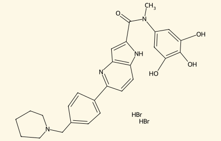 Br.Br.CN(C(=O)c1cc2nc(-c3ccc(CN4CCCCC4)cc3)ccc2[nH]1)c1cc(O)c(O)c(O)c1